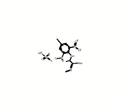 C/N=C(/S)C(C)Nc1c([N+](=O)[O-])cc(C)cc1[N+](=O)[O-].O=S(=O)(O)F